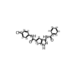 O=C(Nc1n[nH]c2sc(C(=O)Nc3ccc(Cl)cc3)cc12)c1ccccc1